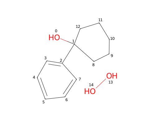 OC1(c2ccccc2)CCCCC1.OO